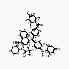 CCC(C)(C)C(=O)OC1CCCCC1Nc1ccc(C(=C2C=CC(=[N+](C)c3c(C)cc(C)cc3C)C=C2)c2ccc(N(C)c3c(C)cc(C)cc3C)cc2)c2ccccc12